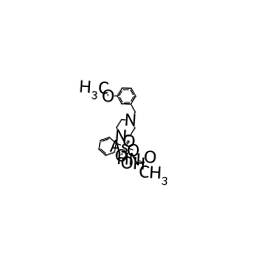 COc1cccc(CN2CCN(C3([As](=O)(OO)ONC(C)=O)C=CC=CC3)CC2)c1